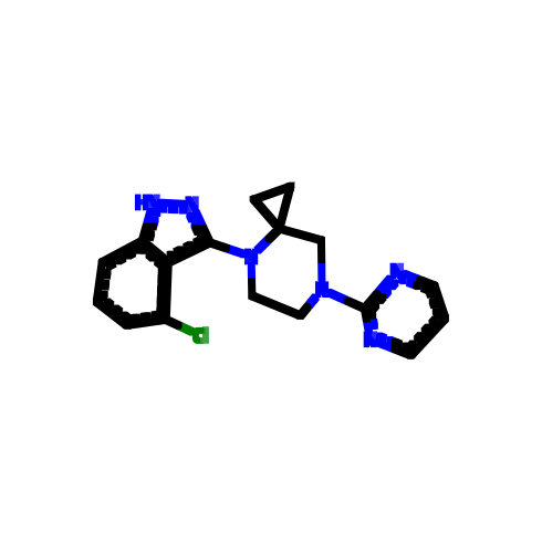 Clc1cccc2[nH]nc(N3CCN(c4ncccn4)CC34CC4)c12